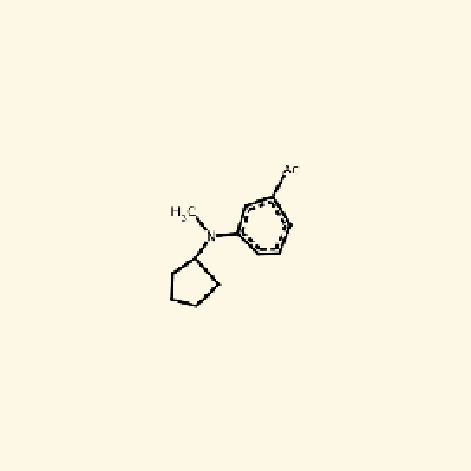 CC(=O)c1cccc(N(C)C2CCCC2)c1